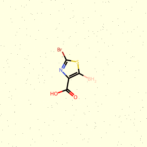 Bc1sc(Br)nc1C(=O)O